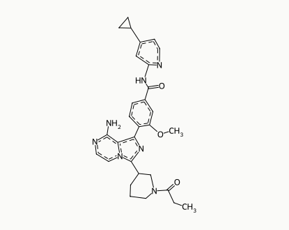 CCC(=O)N1CCCC(c2nc(-c3ccc(C(=O)Nc4cc(C5CC5)ccn4)cc3OC)c3c(N)nccn23)C1